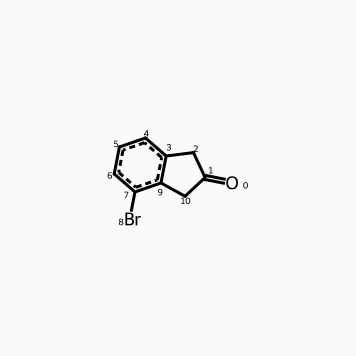 O=C1Cc2cccc(Br)c2C1